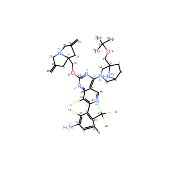 [2H]C([2H])([2H])OCC12CCC(CN(c3nc(OCC45CC(=C)CN4CC(=C)C5)nc4c(F)c(-c5c(F)c(N)cc(C)c5C(F)(F)F)ncc34)C1)N2